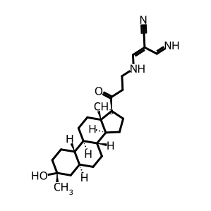 C[C@@]1(O)CC[C@H]2[C@@H](CC[C@@H]3[C@@H]2CC[C@]2(C)[C@@H](C(=O)CCN/C=C(/C#N)C=N)CC[C@@H]32)C1